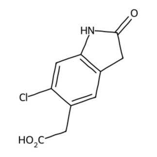 O=C(O)Cc1cc2c(cc1Cl)NC(=O)C2